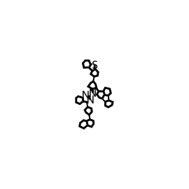 c1ccc2c(c1)-c1cccc3c1c-2cc1c3c2cc(-c3ccc4sc5ccccc5c4c3)ccc2n1-c1nc(-c2ccc(-c3cccc4ccccc34)cc2)c2ccccc2n1